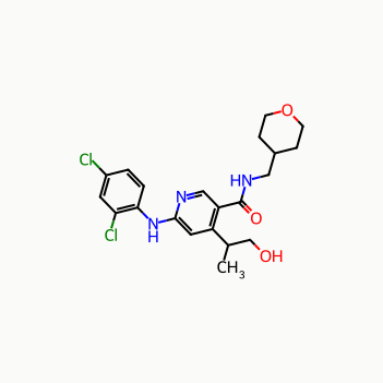 CC(CO)c1cc(Nc2ccc(Cl)cc2Cl)ncc1C(=O)NCC1CCOCC1